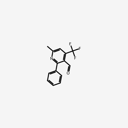 Cc1cc(C(F)(F)F)c(C=O)c(-c2ccccc2)n1